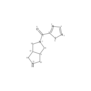 O=C(c1ncns1)N1CC2CNCC2C1